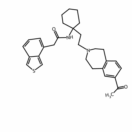 CC(=O)c1ccc2c(c1)CCN(CCC1(NC(=O)Cc3cccc4cscc34)CCCCC1)CC2